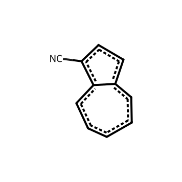 N#Cc1ccc2cccccc1-2